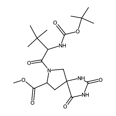 COC(=O)C1CC2(CN1C(=O)C(NC(=O)OC(C)(C)C)C(C)(C)C)NC(=O)NC2=O